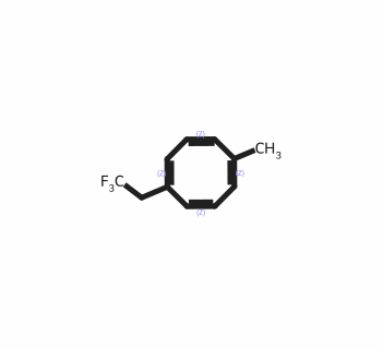 CC1=C/C=C\C(CC(F)(F)F)=C/C=C\1